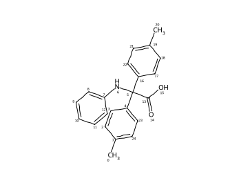 Cc1ccc(C(Nc2ccccc2)(C(=O)O)c2ccc(C)cc2)cc1